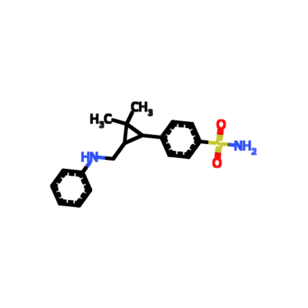 CC1(C)C(CNc2ccccc2)C1c1ccc(S(N)(=O)=O)cc1